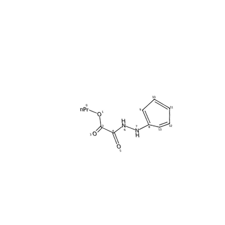 CCCOC(=O)C(=O)NNc1ccccc1